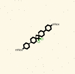 CCCCCCC1CCC(C2CC[C@]3(CC2)C[C@@]2(CC[C@H](C4CCC(CCCCCC)CC4)CC2)C3(Cl)Cl)CC1